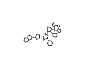 c1ccc(-c2cc(-c3cccc4c3-c3ccccc3C43c4ccccc4Oc4ccccc43)nc(-c3ccc(-c4ccc5ccccc5c4)cc3)n2)cc1